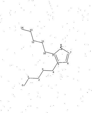 CCCCCc1ccsc1CCCCC